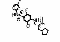 CN[C@@H](CNc1cc(F)c(S(=O)(=O)Nc2ncc(F)s2)cc1Cl)CC1CCCC1